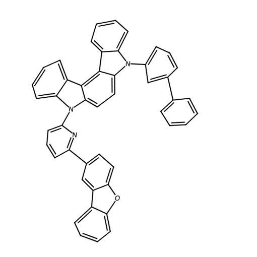 c1ccc(-c2cccc(-n3c4ccccc4c4c5c6ccccc6n(-c6cccc(-c7ccc8oc9ccccc9c8c7)n6)c5ccc43)c2)cc1